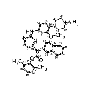 COc1cc(Nc2nccc(N(C(=O)Oc3c(C)cccc3C)c3ccc4ccccc4c3)n2)ccc1N1CCN(C)CC1